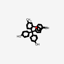 Cc1ccc(C(c2ccc(O)cc2)(c2ccc(O)cc2)c2ccc(O)cc2)c(-c2ccc(O)cc2)c1